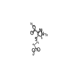 COC(=O)CCSc1cn(C)nc1C(=O)OC